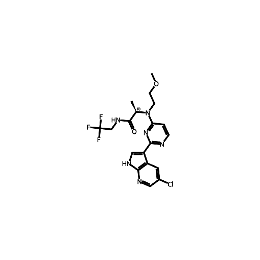 COCCN(c1ccnc(-c2c[nH]c3ncc(Cl)cc23)n1)[C@H](C)C(=O)NCC(F)(F)F